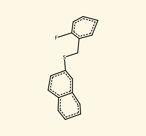 Fc1ccccc1CSc1ccc2ccccc2c1